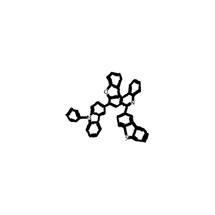 c1ccc(-n2c3ccccc3c3cc(-c4cc5c(-c6ccc7sc8ccccc8c7c6)nc6ccccc6c5c5c4oc4ccccc45)ccc32)cc1